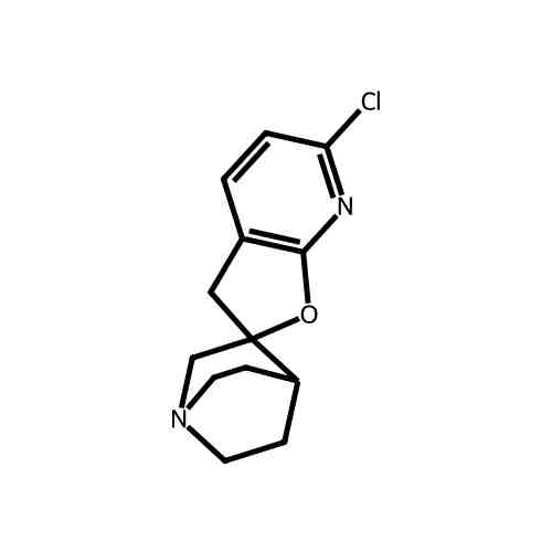 Clc1ccc2c(n1)OC1(C2)CN2CCC1CC2